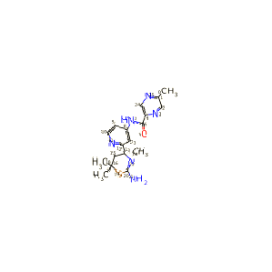 Cc1cnc(C(=O)Nc2ccnc([C@]3(C)CC(C)(C)SC(N)=N3)c2)cn1